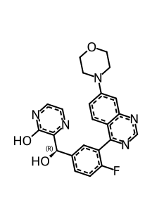 Oc1nccnc1[C@H](O)c1ccc(F)c(-c2ncnc3cc(N4CCOCC4)ccc23)c1